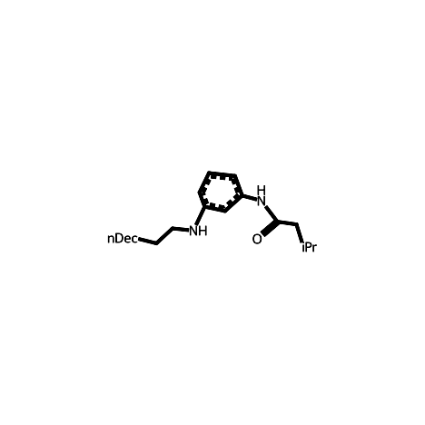 CCCCCCCCCCCCNc1cccc(NC(=O)CC(C)C)c1